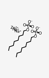 CCCCCCCCOP(=O)([O-])[O-].CCCCCCCCOP(=O)([O-])[O-].[Na+].[Na+].[Zn+2]